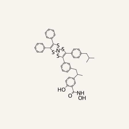 CC(C)Cc1ccc(C2=C(c3cccc(CC(C)c4ccc(O)c(C(=O)NO)c4)c3)S[N+]3(SC(c4ccccc4)=C(c4ccccc4)S3)S2)cc1